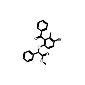 COC(=O)C(Oc1ccc(Br)c(C)c1C(=O)c1ccccc1)c1ccccc1